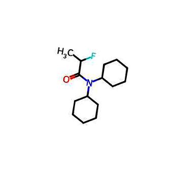 CC(F)C(=O)N(C1CCCCC1)C1CCCCC1